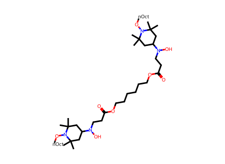 CCCCCCCCON1C(C)(C)CC(N(O)CCC(=O)OCCCCCCOC(=O)CCN(O)C2CC(C)(C)N(OCCCCCCCC)C(C)(C)C2)CC1(C)C